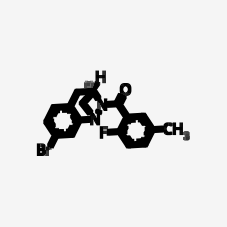 Cc1ccc(F)c(C(=O)N2[C@H]3Cc4ccc(Br)cc4N2C3)c1